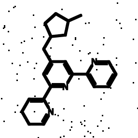 CC1CCC(Cc2cc(C3=CCCC=N3)nc(-c3ccccn3)c2)C1